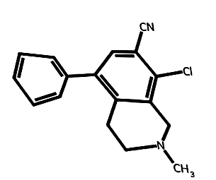 CN1CCc2c(-c3ccccc3)cc(C#N)c(Cl)c2C1